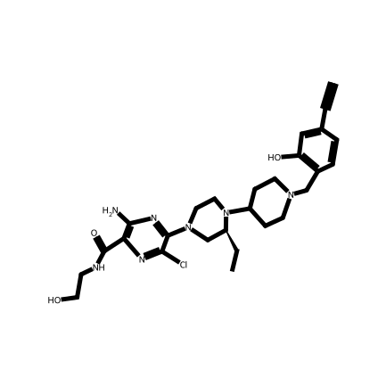 C#Cc1ccc(CN2CCC(N3CCN(c4nc(N)c(C(=O)NCCO)nc4Cl)C[C@@H]3CC)CC2)c(O)c1